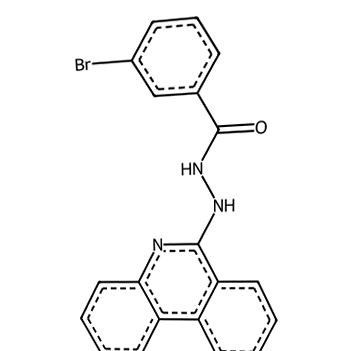 O=C(NNc1nc2ccccc2c2ccccc12)c1cccc(Br)c1